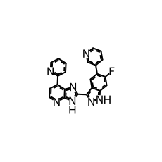 Fc1cc2[nH]nc(-c3nc4c(-c5ccccn5)ccnc4[nH]3)c2cc1-c1cccnc1